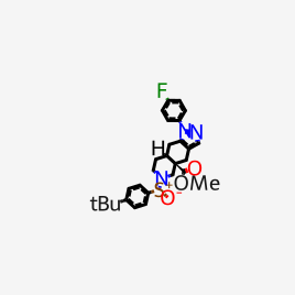 COC(=O)[C@]12Cc3cnn(-c4ccc(F)cc4)c3C[C@@H]1CCN([S+]([O-])c1ccc(C(C)(C)C)cc1)C2